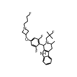 CC1Cc2c([nH]c3ccccc23)C(c2c(F)cc(OC3CN(CCCF)C3)cc2F)N1CC(C)(C)F